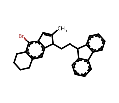 CC1=Cc2c(cc3c(c2Br)CCCC3)C1CCC1c2ccccc2-c2ccccc21